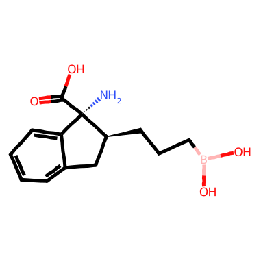 N[C@@]1(C(=O)O)c2ccccc2C[C@@H]1CCCB(O)O